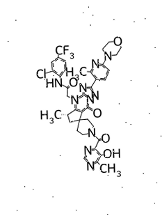 Cc1nc(N2CCOCC2)ccc1-c1nc2n(CC(=O)Nc3ccc(C(F)(F)F)cc3Cl)c3c(c(=O)n2n1)C1(CCN(C(=O)c2ncnc(C)c2O)CC1)C[C@@H]3C